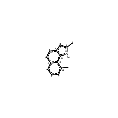 Cc1cc2ccc3cccc(C)c3c2[nH]1